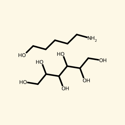 NCCCCCO.OCC(O)C(O)C(O)C(O)CO